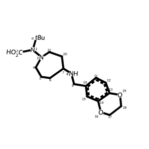 CC(C)(C)N(C(=O)O)N1CCCC(NCc2ccc3c(c2)OCCO3)CC1